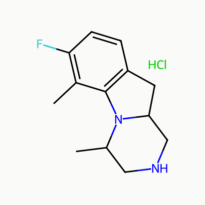 Cc1c(F)ccc2c1N1C(C)CNCC1C2.Cl